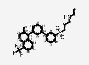 CCNCCCS(=O)(=O)c1cccc(-c2cccc(-c3c(C)cnc4c(C(F)(F)F)cccc34)c2)c1